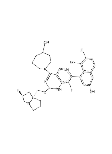 CCc1c(F)ccc2cc(O)cc(-c3ncc4c(c3F)NC(OC[C@]35CCCN3C[C@@H](F)C5)N=C4N3CCCC(O)CC3)c12